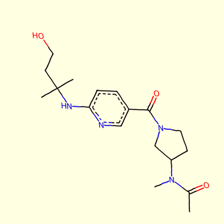 CC(=O)N(C)C1CCN(C(=O)c2ccc(NC(C)(C)CCO)nc2)C1